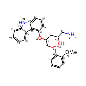 COc1ccccc1OCC(CC(O)CN)Oc1cccc2[nH]c3ccccc3c12